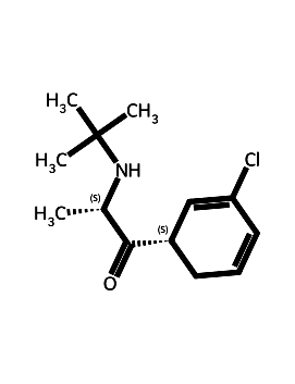 C[C@H](NC(C)(C)C)C(=O)[C@@H]1C=C(Cl)C=CC1